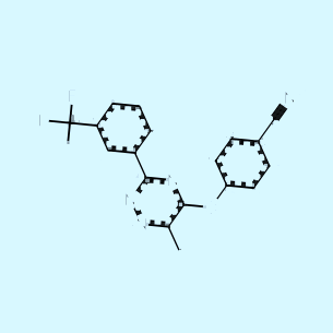 Cc1nnc(-c2cccc(C(F)(F)F)c2)nc1Oc1ccc(C#N)cc1